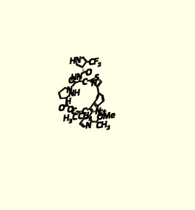 CCn1c(-c2cccnc2[C@H](C)OC)c2c3cc(ccc31)-c1csc(n1)C[C@H](NC(=O)[C@@H]1CNC[C@H]1C(F)(F)F)C(=O)N1CCC[C@H](N1)C(=O)OCC(C)(C)C2